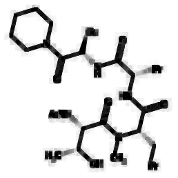 CC[C@H](C)[C@H](NC(=O)[C@@H](NC(=O)[C@H](CC(C)C)N(C)C(=O)[C@@H](NC(C)=O)[C@@H](C)O)C(C)C)C(=O)N1CCCCC1